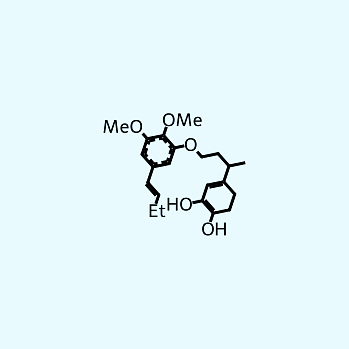 CC/C=C/c1cc(OC)c(OC)c(OCCC(C)C2=CC(O)=C(O)CC2)c1